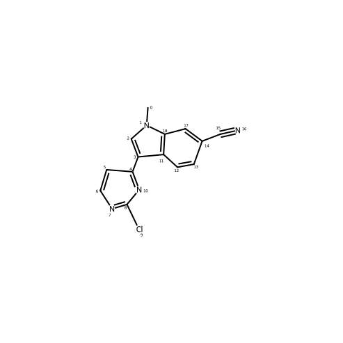 Cn1cc(-c2ccnc(Cl)n2)c2ccc(C#N)cc21